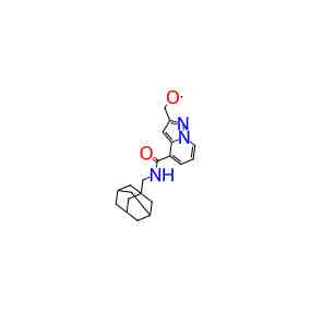 [O]Cc1cc2c(C(=O)NCC34CC5CC(CC(C5)C3)C4)cccn2n1